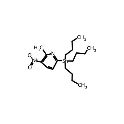 CCC[CH2][Sn]([CH2]CCC)([CH2]CCC)[c]1ccc([N+](=O)[O-])c(C)n1